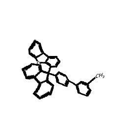 Cc1cccc(-c2ccc(C3(c4cccc5c4oc4ccccc45)c4ccccc4-c4ccccc43)cc2)c1